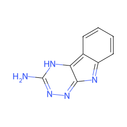 Nc1nnc2nc3ccccc3c-2[nH]1